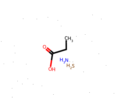 CCC(=O)O.N.S